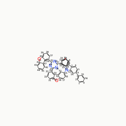 c1ccc(-c2ccc3c4ccccc4n(-c4ccc5oc6cccc(-c7nc(-c8ccccc8)nc(-c8cccc9oc%10ccccc%10c89)n7)c6c5c4)c3c2)cc1